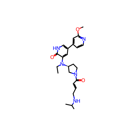 CCN(c1cc(-c2ccnc(OC)c2)c[nH]c1=O)[C@H]1CCN(C(=O)/C=C/CNC(C)C)C1